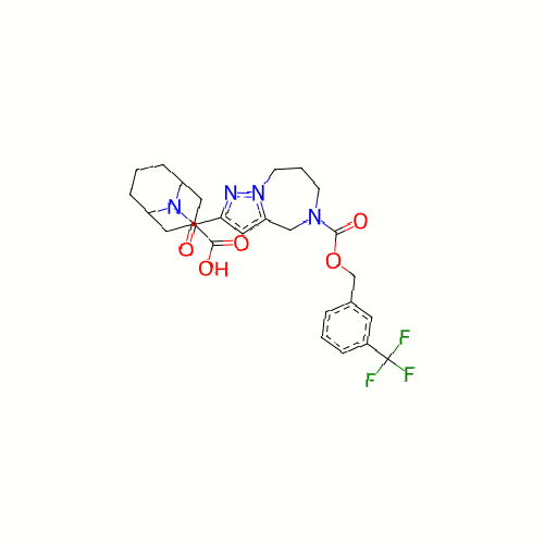 O=C(O)C1CC2CCCC(C1)N2C(=O)c1cc2n(n1)CCCN(C(=O)OCc1cccc(C(F)(F)F)c1)C2